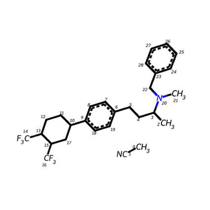 CC#N.CC(CCc1ccc(C2CCC(C(F)(F)F)C(C(F)(F)F)C2)cc1)N(C)Cc1ccccc1